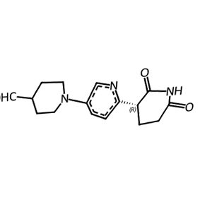 O=CC1CCN(c2ccc([C@H]3CCC(=O)NC3=O)nc2)CC1